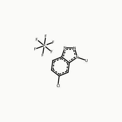 Clc1ccc2nn[n]([U])c2c1.F[P-](F)(F)(F)(F)F